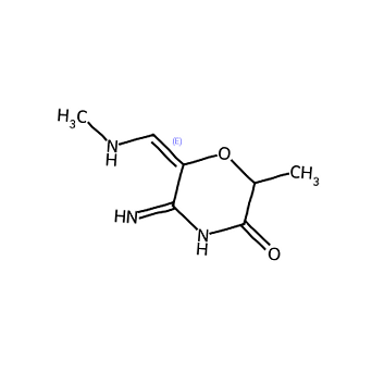 CN/C=C1/OC(C)C(=O)NC1=N